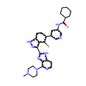 CN1CCN(c2nccc3[nH]c(-c4n[nH]c5ccc(-c6cncc(NC(=O)C7CCCCC7)c6)c(F)c45)nc23)CC1